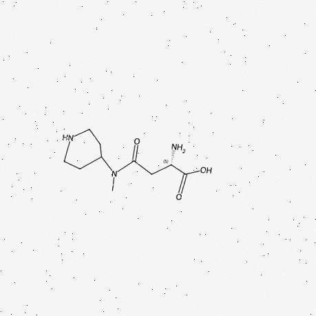 CN(C(=O)C[C@H](N)C(=O)O)C1CCNCC1